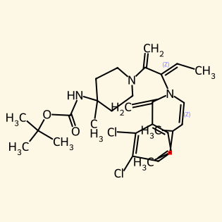 C=C(/C(=C/C)N(/C=C\C(C)CC)C(=C)c1cccc(Cl)c1Cl)N1CCC(C)(NC(=O)OC(C)(C)C)CC1